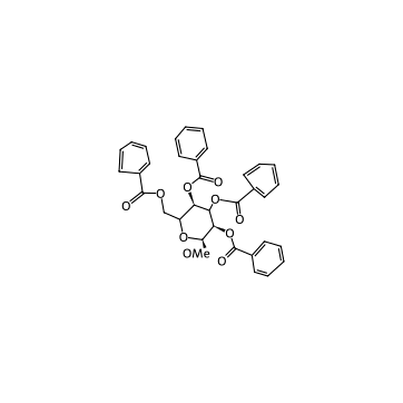 CO[C@H]1OC(COC(=O)c2ccccc2)[C@@H](OC(=O)c2ccccc2)C(OC(=O)c2ccccc2)[C@H]1OC(=O)c1ccccc1